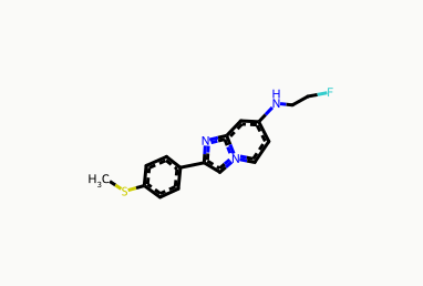 CSc1ccc(-c2cn3ccc(NCCF)cc3n2)cc1